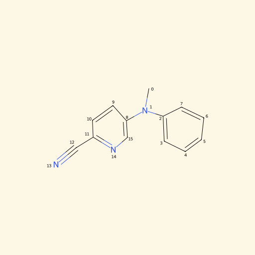 CN(c1ccccc1)c1ccc(C#N)nc1